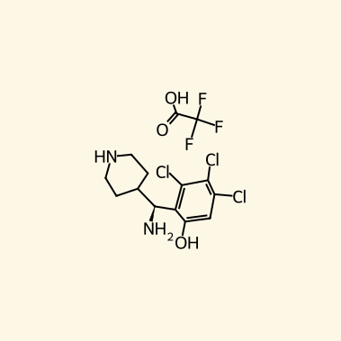 N[C@H](c1c(O)cc(Cl)c(Cl)c1Cl)C1CCNCC1.O=C(O)C(F)(F)F